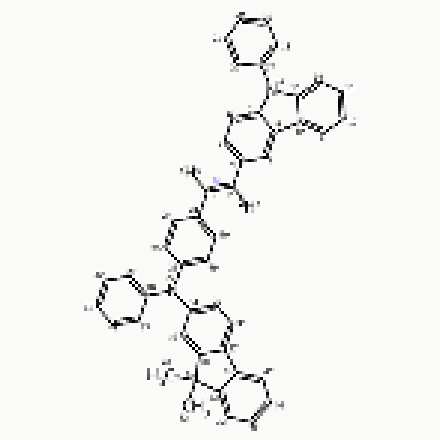 [2H]/C(=C(/[2H])c1ccc2c(c1)c1ccccc1n2-c1ccccc1)c1ccc(N(c2ccccc2)c2ccc3c(c2)C(C)(C)c2ccccc2-3)cc1